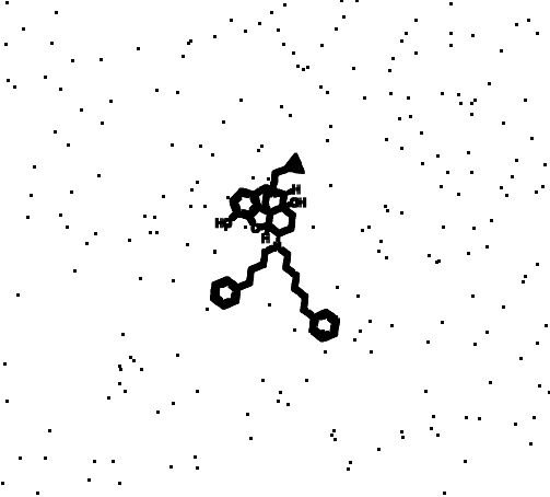 Oc1ccc2c3c1O[C@H]1[C@@H](N(CCCCCCc4ccccc4)CCCCc4ccccc4)CC[C@@]4(O)[C@@H](C2)N(CC2CC2)CC[C@]314